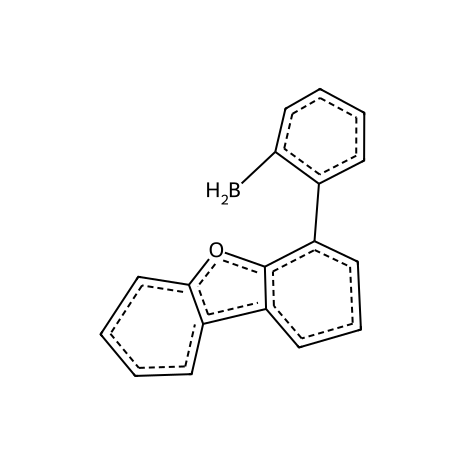 Bc1ccccc1-c1cccc2c1oc1ccccc12